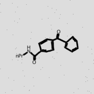 CCCNC(=O)c1ccc(C(=O)c2ccccc2)cc1